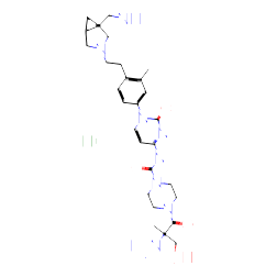 Cc1cc(-n2ccc(NC(=O)N3CCN(C(=O)C(C)(N)CO)CC3)nc2=O)ccc1CCN1CC2CC2(CN)C1.Cl